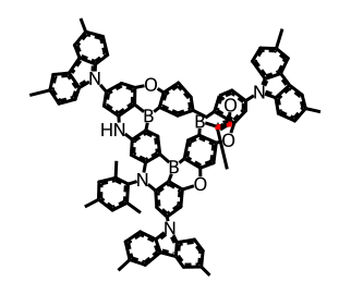 Cc1cc(C)c(N2c3cc4c(cc3B3c5cc6c(cc5Oc5cc(-n7c8ccc(C)cc8c8cc(C)ccc87)cc2c53)Oc2cc(-n3c5ccc(C)cc5c5cc(C)ccc53)cc3c2B6c2cc(C)ccc2O3)B2c3cc(C)ccc3Oc3cc(-n5c6ccc(C)cc6c6cc(C)ccc65)cc(c32)N4)c(C)c1